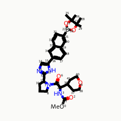 COC(=O)NC(C(=O)N1CCCC1c1ncc(-c2ccc3cc(B4OC(C)(C)C(C)(C)O4)ccc3c2)[nH]1)C1CCOCC1